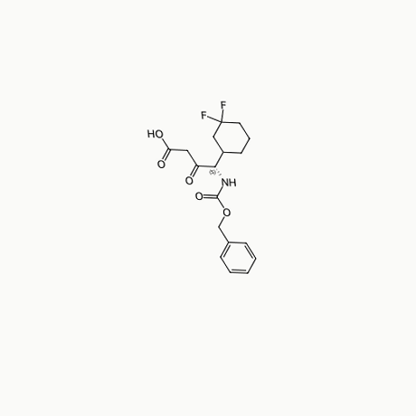 O=C(O)CC(=O)[C@@H](NC(=O)OCc1ccccc1)C1CCCC(F)(F)C1